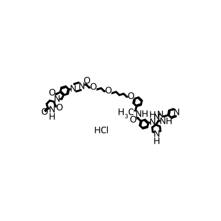 C[C@H](NC(=O)c1cccc(NC2(c3nnc(-c4ccncc4)[nH]3)CCNCC2)c1)c1cccc(OCCCCCOCCCOCC(=O)N2CCN(c3ccc4c(c3)CN(C3CCC(=O)NC3=O)C4=O)CC2)c1.Cl